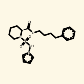 O=C(OCCCCc1ccccc1)[C@@H]1CCCCN1S(=O)(=O)Nn1cccc1